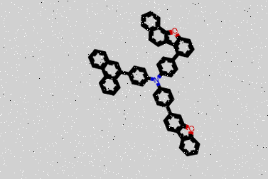 c1ccc2c(c1)cc(-c1ccc(N(c3ccc(-c4ccc5c(c4)oc4ccccc45)cc3)c3ccc(-c4cccc5oc6c7ccccc7ccc6c45)cc3)cc1)c1ccccc12